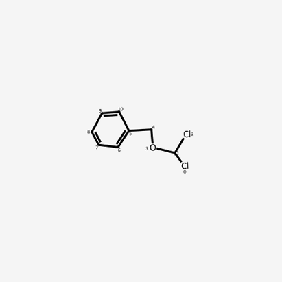 Cl[C](Cl)OCc1ccccc1